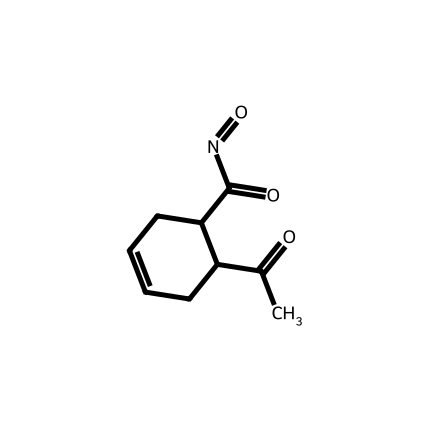 CC(=O)C1CC=CCC1C(=O)N=O